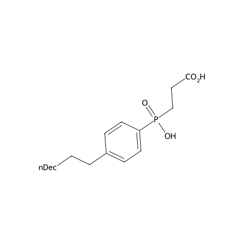 CCCCCCCCCCCCc1ccc(P(=O)(O)CCC(=O)O)cc1